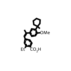 CCc1cc(C=C(C)c2ccc(OC)c(C3(C)CCCCC3)c2)ccc1C(=O)O